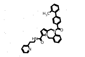 Cc1ccccc1-c1ccc(C(=O)N2Cc3ccc(C(=O)NCCc4ccccn4)n3Cc3ccccc32)cc1